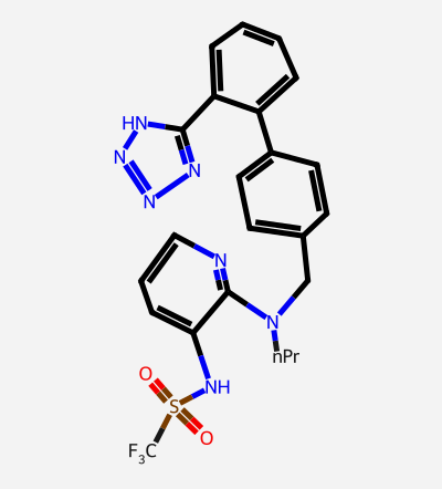 CCCN(Cc1ccc(-c2ccccc2-c2nnn[nH]2)cc1)c1ncccc1NS(=O)(=O)C(F)(F)F